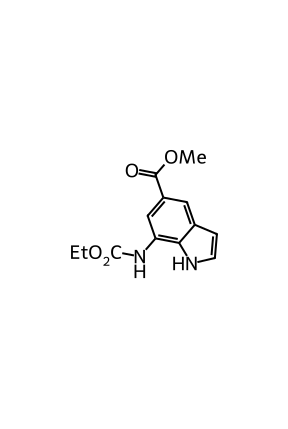 CCOC(=O)Nc1cc(C(=O)OC)cc2cc[nH]c12